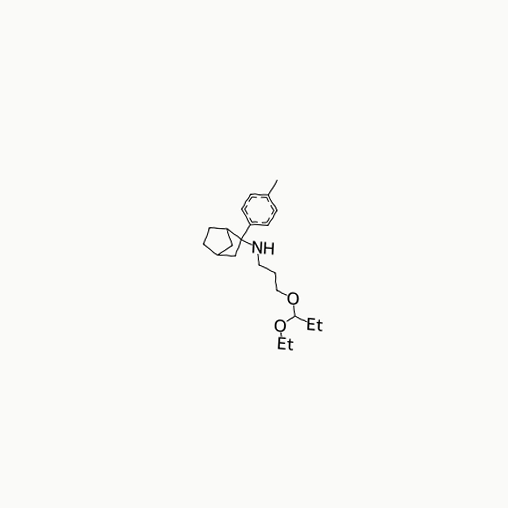 CCOC(CC)OCCCNC1(c2ccc(C)cc2)CC2CCC1C2